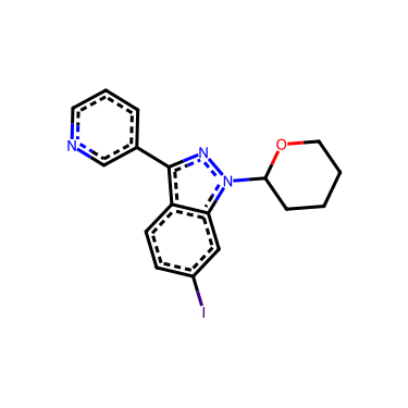 Ic1ccc2c(-c3cccnc3)nn(C3CCCCO3)c2c1